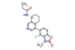 CCC(=O)N[C@@H]1CCCc2c(-c3ccc4oc(=O)n(C)c4c3F)cncc21